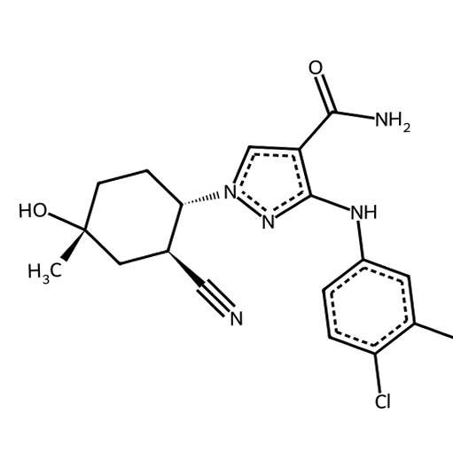 C[C@@]1(O)CC[C@H](n2cc(C(N)=O)c(Nc3ccc(Cl)c(F)c3)n2)[C@@H](C#N)C1